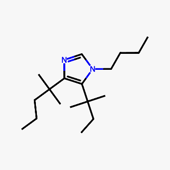 CCCCn1cnc(C(C)(C)CCC)c1C(C)(C)CC